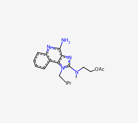 CC(=O)OCCN(C)c1nc2c(N)nc3ccccc3c2n1CC(C)C